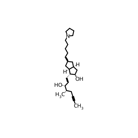 CC#CC[C@H](C)[C@H](O)/C=C/[C@@H]1[C@H]2C/C(=C/CCCCN3CCCC3)C[C@H]2C[C@H]1O